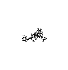 CC(=O)OC[C@H]1O[C@@H](n2cnc3c(/C=C/c4ccccc4)ncnc32)[C@@H]2OC(C)(C)O[C@@H]21